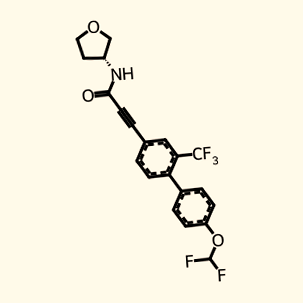 O=C(C#Cc1ccc(-c2ccc(OC(F)F)cc2)c(C(F)(F)F)c1)N[C@@H]1CCOC1